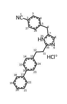 Cl.N#Cc1ccc(Cc2cnc(CCc3ccc(-c4ccccc4)cc3)[nH]2)cc1